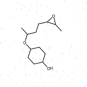 CC(CCC1OC1C)OC1CCC(O)CC1